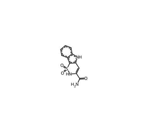 NC(=O)C1=Cc2[nH]c3ccccc3c2S(=O)(=O)N1